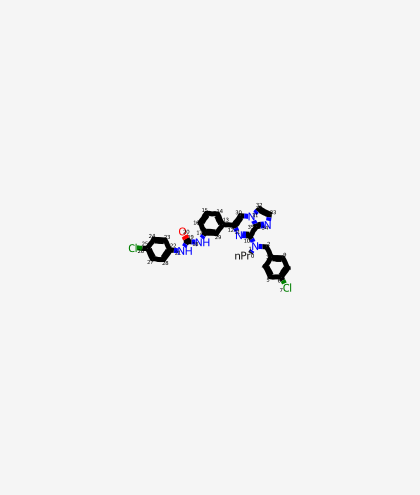 CCCN(Cc1ccc(Cl)cc1)c1nc(-c2cccc(NC(=O)Nc3ccc(Cl)cc3)c2)cn2ccnc12